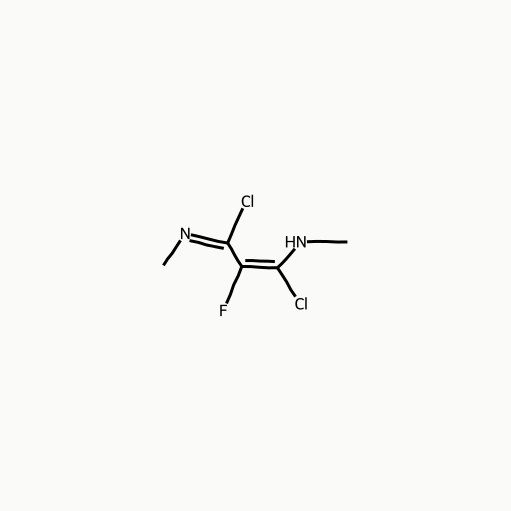 C/N=C(Cl)\C(F)=C(\Cl)NC